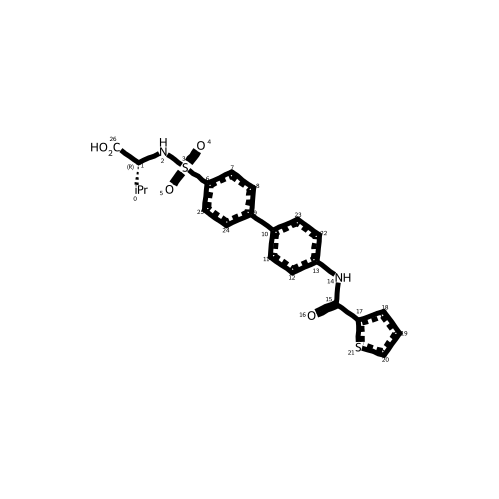 CC(C)[C@@H](NS(=O)(=O)c1ccc(-c2ccc(NC(=O)c3cccs3)cc2)cc1)C(=O)O